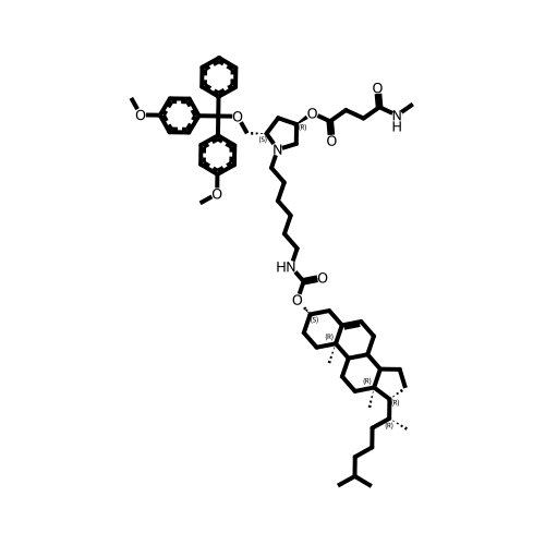 CNC(=O)CCC(=O)O[C@@H]1C[C@@H](COC(c2ccccc2)(c2ccc(OC)cc2)c2ccc(OC)cc2)N(CCCCCCNC(=O)O[C@H]2CC[C@@]3(C)C(=CCC4C3CC[C@@]3(C)C4CC[C@@H]3[C@H](C)CCCC(C)C)C2)C1